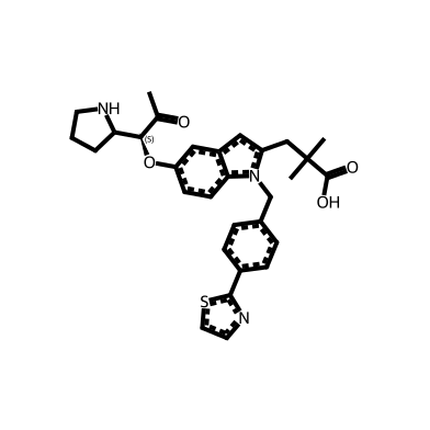 CC(=O)[C@@H](Oc1ccc2c(c1)cc(CC(C)(C)C(=O)O)n2Cc1ccc(-c2nccs2)cc1)C1CCCN1